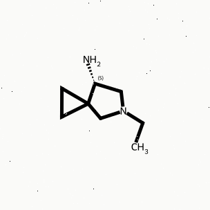 CCN1C[C@@H](N)C2(CC2)C1